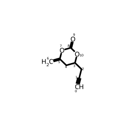 C#CCC1CC(=C)OC(=O)O1